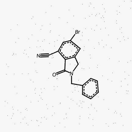 N#Cc1cc(Br)cc2c1C(=O)N(Cc1ccccc1)C2